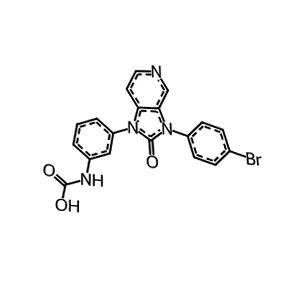 O=C(O)Nc1cccc(-n2c(=O)n(-c3ccc(Br)cc3)c3cnccc32)c1